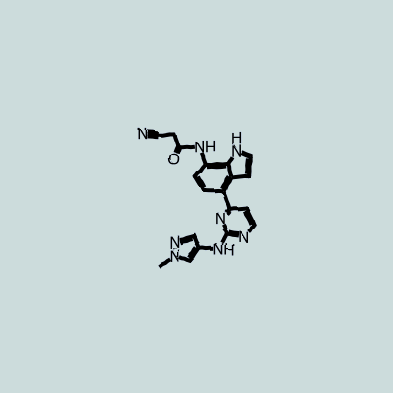 Cn1cc(Nc2nccc(-c3ccc(NC(=O)CC#N)c4[nH]ccc34)n2)cn1